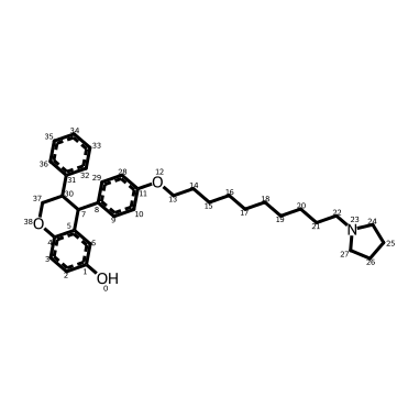 Oc1ccc2c(c1)C(c1ccc(OCCCCCCCCCCN3CCCC3)cc1)C(c1ccccc1)CO2